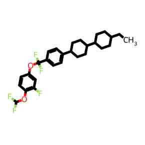 CCC1CCC(C2CCC(c3ccc(C(F)(F)Oc4ccc(OC(F)F)c(F)c4)cc3)CC2)CC1